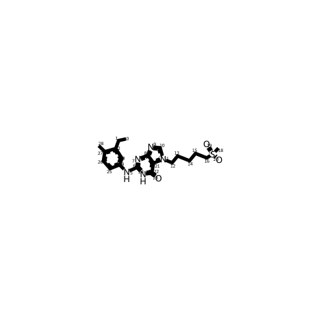 CCc1cc(Nc2nc3ncn(CCCCCS(C)(=O)=O)c3c(=O)[nH]2)ccc1C